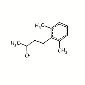 Cc1cccc(C)c1CCC(C)[O]